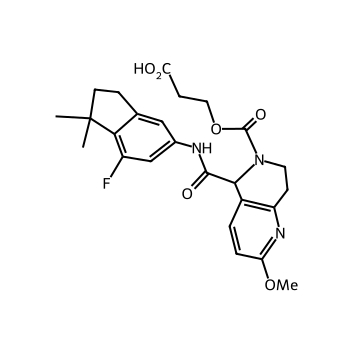 COc1ccc2c(n1)CCN(C(=O)OCCC(=O)O)C2C(=O)Nc1cc(F)c2c(c1)CCC2(C)C